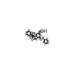 Cc1cc2c(OCc3ccccc3)cc(CO)cc2n1S(=O)(=O)c1ccccc1